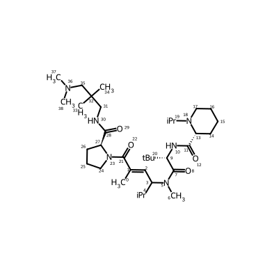 C/C(=C\C(C(C)C)N(C)C(=O)[C@@H](NC(=O)[C@H]1CCCCN1C(C)C)C(C)(C)C)C(=O)N1CCC[C@H]1C(=O)NCC(C)(C)CN(C)C